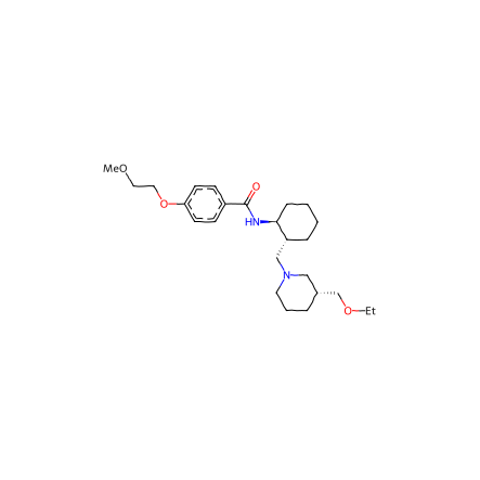 CCOC[C@@H]1CCCN(C[C@H]2CCCC[C@@H]2NC(=O)c2ccc(OCCOC)cc2)C1